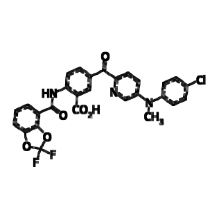 CN(c1ccc(Cl)cc1)c1ccc(C(=O)c2ccc(NC(=O)c3cccc4c3OC(F)(F)O4)c(C(=O)O)c2)nc1